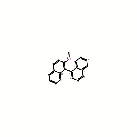 CPc1ccc2ccccc2c1-c1cccc2ccccc12